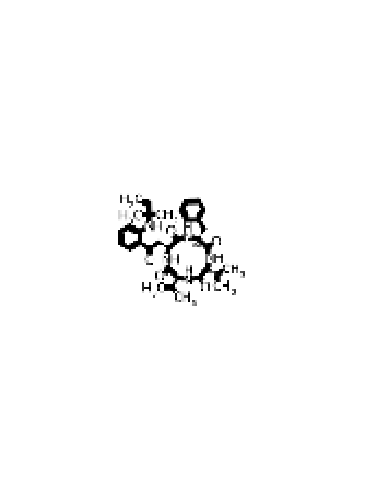 C=CC(C)(C)Nc1ccccc1C(=O)C[C@@H]1NC(=O)[C@H](C(C)C)NC(=O)[C@@H](C(C)C)NC(=O)[C@H](Cc2ccccc2)NC1=O